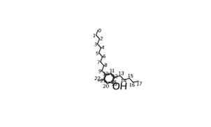 CCCCCCCCCCc1cc(CCCCC)c(O)cc1C